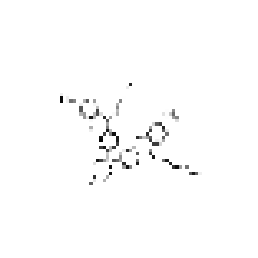 CCCCCCC(c1ccc(C2(c3ccc(C(CCCCCC)c4ccc(N)cc4C)cc3)CCC(C)CC2)cc1)c1ccc(N)cc1C